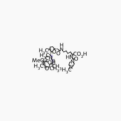 CO[C@H]([C@@H](C)[C@H]1OC1(C)C[C@H](C)/C=C/C=C(\C)[C@H]1O[C@@H](CC(=O)NCCCC[C@H](NC(=O)N2CCN(C)CC2)C(=O)O)CC[C@@H]1C)[C@@H](C)O